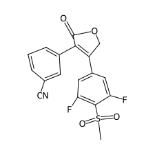 CS(=O)(=O)c1c(F)cc(C2=C(c3cccc(C#N)c3)C(=O)OC2)cc1F